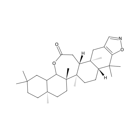 CC1(C)CC[C@]2(C)CC[C@]3(C)C(OC(=O)C[C@@H]4[C@@]5(C)Cc6cnoc6C(C)(C)[C@@H]5CC[C@]43C)C2C1